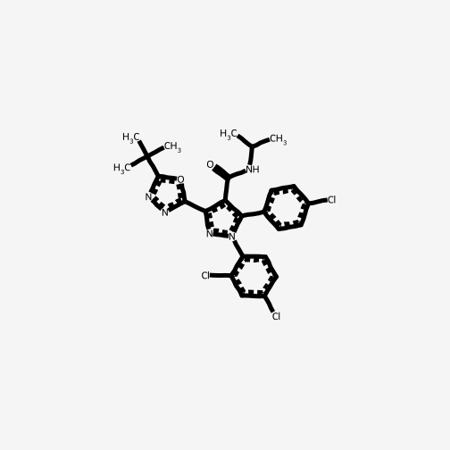 CC(C)NC(=O)c1c(-c2nnc(C(C)(C)C)o2)nn(-c2ccc(Cl)cc2Cl)c1-c1ccc(Cl)cc1